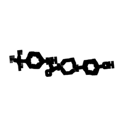 O=C(Nc1ccc(C(F)(F)F)cc1)N1CCN(c2ccc(O)cc2)CC1